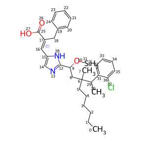 CCCCCCC(C)(CC(O[SiH3])c1ncc(/C=C(\Cc2ccccc2)C(=O)O)[nH]1)C(C)c1ccccc1Cl